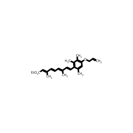 C=CCOc1cc(C)c(/C=C/C(C)=C/C=C/C(C)=C/C(=O)OCC)c(C)c1C